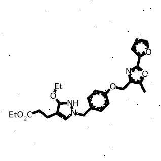 CCOC(=O)CCC1=CN(Cc2ccc(OCc3nc(-c4ccco4)oc3C)cc2)NC1OCC